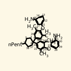 CCCCCC1CCC(c2cc(C)c(Oc3cccc(N)c3)c(C)c2)(c2cc(C)c(Oc3cccc(N)c3)c(C)c2)CC1